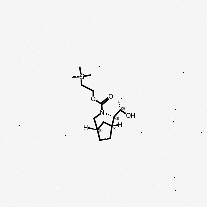 C[C@H](O)[C@@H]1[C@@H]2CC[C@@H](C2)CN1C(=O)OCC[Si](C)(C)C